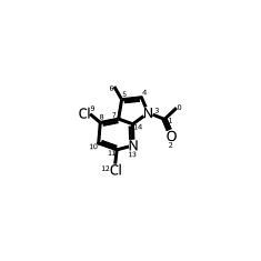 CC(=O)n1cc(C)c2c(Cl)cc(Cl)nc21